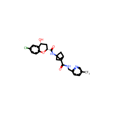 O=C(NCc1ccc(C(F)(F)F)cn1)C1CC2(NC(=O)[C@H]3C[C@@H](O)c4cc(Cl)ccc4O3)CC1C2